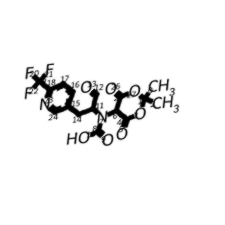 CC1(C)OC(=O)C(N(C(=O)O)C(C=O)Cc2ccc(C(F)(F)F)nc2)C(=O)O1